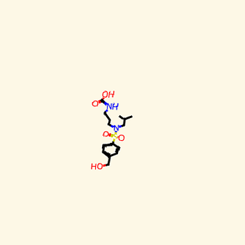 CC(C)CN(CCCNC(=O)O)S(=O)(=O)c1ccc(CO)cc1